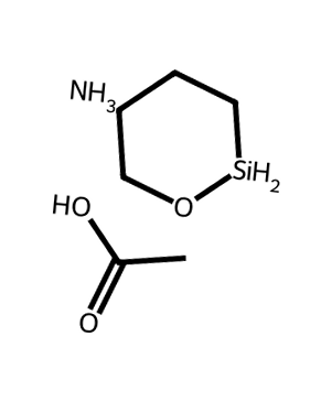 C1CC[SiH2]OC1.CC(=O)O.N